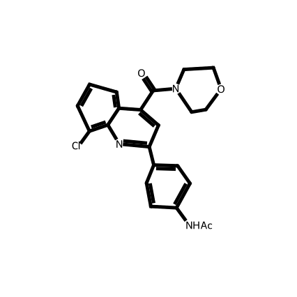 CC(=O)Nc1ccc(-c2cc(C(=O)N3CCOCC3)c3cccc(Cl)c3n2)cc1